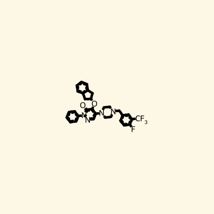 O=c1c(OC2Cc3ccccc3C2)c(N2CCN(Cc3ccc(F)c(C(F)(F)F)c3)CC2)cnn1-c1ccccc1